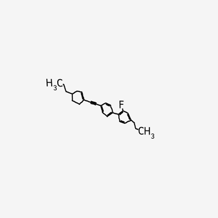 CCCc1ccc(-c2ccc(C#CC3=CCC(CCC)CC3)cc2)c(F)c1